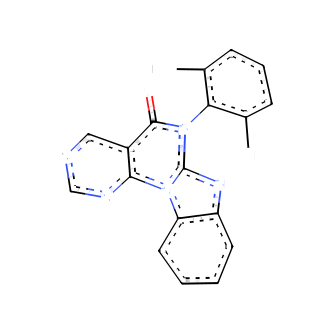 Cc1cccc(C)c1-n1c(=O)c2cncnc2n2c3ccccc3nc12